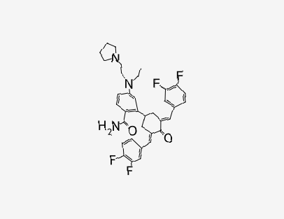 CCN(CCN1CCCC1)c1ccc(C(N)=O)c(C2C/C(=C\c3ccc(F)c(F)c3)C(=O)/C(=C/c3ccc(F)c(F)c3)C2)c1